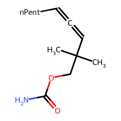 CCCCCC=C=CC(C)(C)COC(N)=O